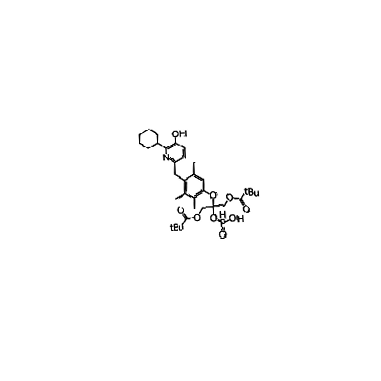 Cc1cc(OC(COC(=O)C(C)(C)C)(COC(=O)C(C)(C)C)O[PH](=O)O)c(C)c(C)c1Cc1ccc(O)c(C2CCCCC2)n1